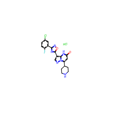 Cl.O=c1cc(C2CCNCC2)n2ncc(-c3nc(-c4cc(Cl)ccc4F)no3)c2[nH]1